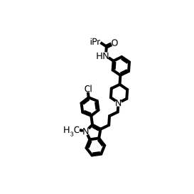 CC(C)C(=O)Nc1cccc(C2CCN(CCCc3c(-c4ccc(Cl)cc4)n(C)c4ccccc34)CC2)c1